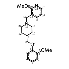 COc1ccccc1OCC1CCN(Cc2cccnc2OC)CC1